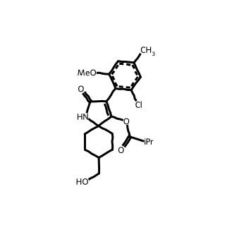 COc1cc(C)cc(Cl)c1C1=C(OC(=O)C(C)C)C2(CCC(CO)CC2)NC1=O